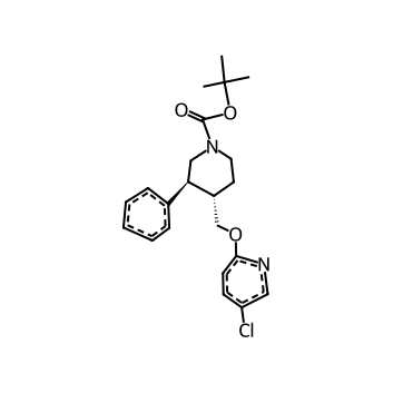 CC(C)(C)OC(=O)N1CC[C@H](COc2ccc(Cl)cn2)[C@@H](c2ccccc2)C1